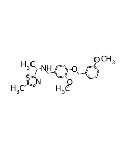 COc1cccc(COc2ccc(CN[C@@H](C)c3ncc(C)s3)cc2OC)c1